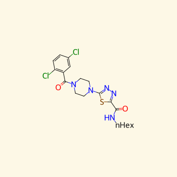 CCCCCCNC(=O)c1nnc(N2CCN(C(=O)c3cc(Cl)ccc3Cl)CC2)s1